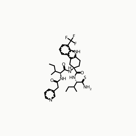 CCC(C)[C@H](NC(=O)Cc1cccnc1)C(=O)N[C@]1(C(=O)N[C@H](C(N)=S)C(C)CC)CCc2[nH]c3c(C(F)(F)F)cccc3c2C1